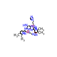 Cc1ccc2c(N=C3NC(=Nc4c(OCCCn5ccnc5)nn5c(C)c(C)ccc45)C(N)=CC3=N)c(OCCCn3ccnc3)nn2c1C